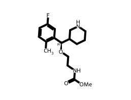 COC(=O)NCCO[C@@H](c1cc(F)ccc1C)C1CCCNC1